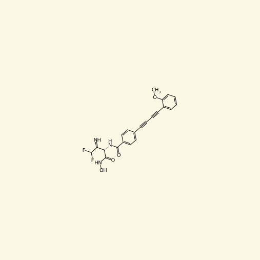 COc1ccccc1C#CC#Cc1ccc(C(=O)N[C@@H](C(=N)C(F)F)C(=O)NO)cc1